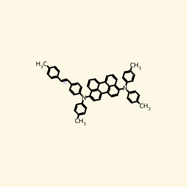 Cc1ccc(/C=C/c2ccc(N(c3ccc(C)cc3)c3ccc4c5ccc(N(c6ccc(C)cc6)c6ccc(C)cc6)c6cccc(c7cccc3c74)c65)cc2)cc1